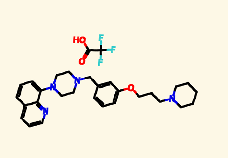 O=C(O)C(F)(F)F.c1cc(CN2CCN(c3cccc4cccnc34)CC2)cc(OCCCN2CCCCC2)c1